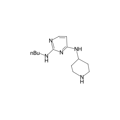 CCCCNc1nccc(NC2CCNCC2)n1